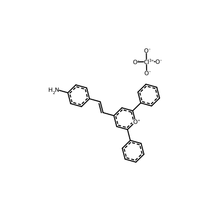 Nc1ccc(/C=C/c2cc(-c3ccccc3)[o+]c(-c3ccccc3)c2)cc1.[O-][Cl+3]([O-])([O-])[O-]